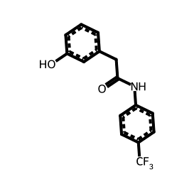 O=C(Cc1cccc(O)c1)Nc1ccc(C(F)(F)F)cc1